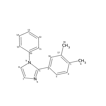 Cc1ccc(-c2nccn2-c2ccccc2)cc1C